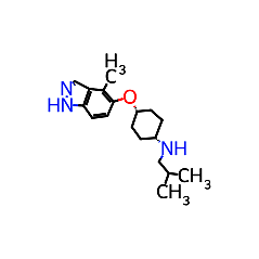 Cc1c(O[C@H]2CC[C@@H](NCC(C)C)CC2)ccc2[nH]ncc12